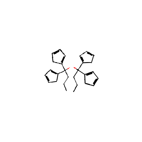 CCCC(OC(CCC)(C1=CC=CC1)C1=CC=CC1)(C1=CC=CC1)C1=CC=CC1